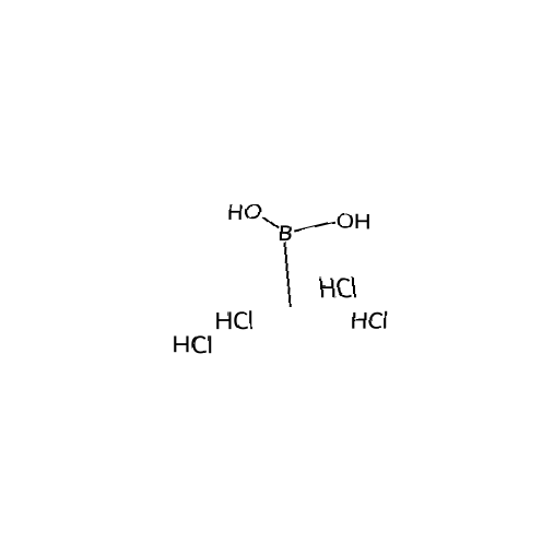 CB(O)O.Cl.Cl.Cl.Cl